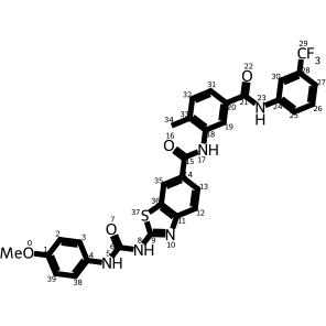 COc1ccc(NC(=O)Nc2nc3ccc(C(=O)Nc4cc(C(=O)Nc5cccc(C(F)(F)F)c5)ccc4C)cc3s2)cc1